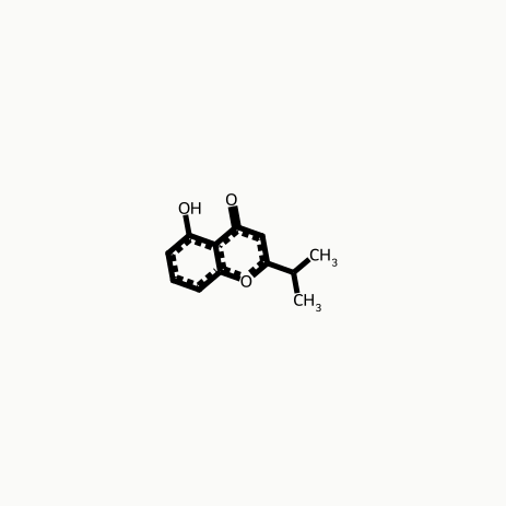 CC(C)c1cc(=O)c2c(O)cccc2o1